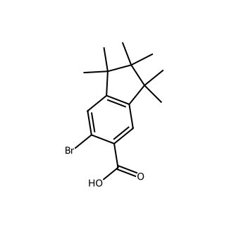 CC1(C)c2cc(Br)c(C(=O)O)cc2C(C)(C)C1(C)C